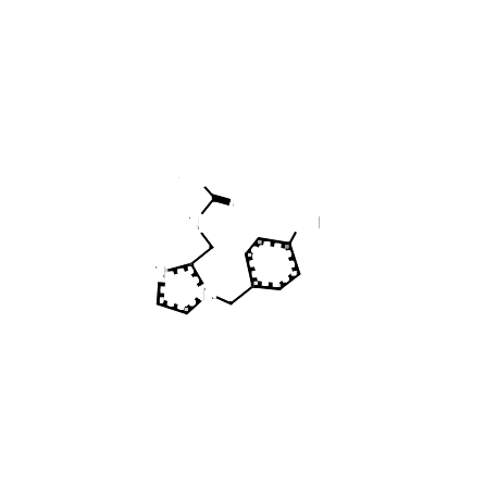 CC(=O)NCc1nccn1Cc1ccc(C)cc1